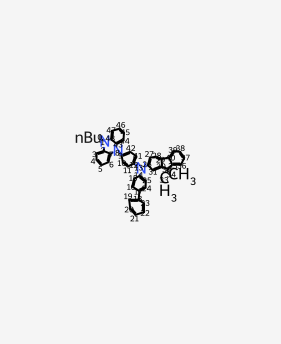 CCCCN1c2ccccc2N(c2ccc(N(c3ccc(-c4ccccc4)cc3)c3ccc4c(c3)C(C)(C)c3ccccc3-4)cc2)c2ccccc21